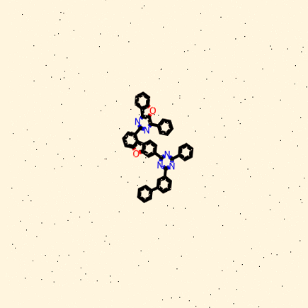 c1ccc(-c2cccc(-c3nc(-c4ccccc4)nc(-c4ccc5c(c4)oc4cccc(-c6nc(-c7ccccc7)c7oc8ccccc8c7n6)c45)n3)c2)cc1